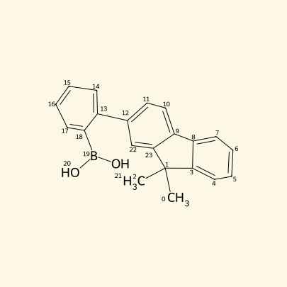 CC1(C)c2ccccc2-c2ccc(-c3ccccc3B(O)O)cc21